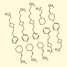 CCCC1CC(CCc2ccc([C@H]3CC[C@H](CCC)CC3)cc2)C1.CCCCC1CC(CCc2ccc([C@H]3CC[C@H](CCC)CC3)cc2)C1.CCCCCC1CC(CCc2ccc([C@H]3CC[C@H](CCC)CC3)cc2)C1.CCC[C@H]1CC[C@H](c2ccc(CCC3CC(C)C3)cc2)CC1.CCC[C@H]1CC[C@H](c2ccc(CCC3CC(CC)C3)cc2)CC1